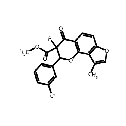 COC(=O)C1(F)C(=O)c2ccc3occ(C)c3c2OC1c1cccc(Cl)c1